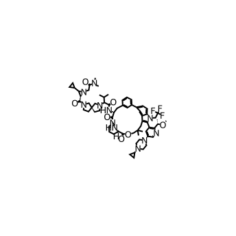 CO[C@@H](C)c1ncc(N2CCN(C3CC3)CC2)cc1-c1c2c3cc(ccc3n1CC(F)(F)F)-c1cccc(c1)C[C@H](NC(=O)C(C(C)C)N1CC[C@]3(CCN(C(=O)[C@H]4C(C5CC5)N4CC(=O)N(C)C)C3)C1)C(=O)N1CCC[C@H](N1)C(=O)OCC(C)(C)C2